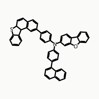 C1=CC2Sc3ccccc3C2c2cc(-c3ccc(N(c4ccc(-c5cccc6ccccc56)cc4)c4ccc5c(c4)oc4ccccc45)cc3)ccc21